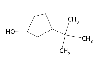 CC(C)(C)C1C[CH]C(O)C1